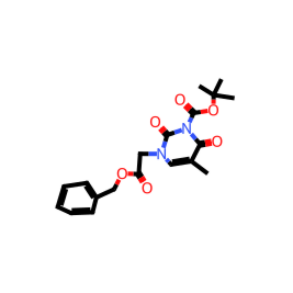 Cc1cn(CC(=O)OCc2ccccc2)c(=O)n(C(=O)OC(C)(C)C)c1=O